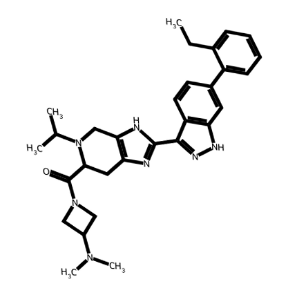 CCc1ccccc1-c1ccc2c(-c3nc4c([nH]3)CN(C(C)C)C(C(=O)N3CC(N(C)C)C3)C4)n[nH]c2c1